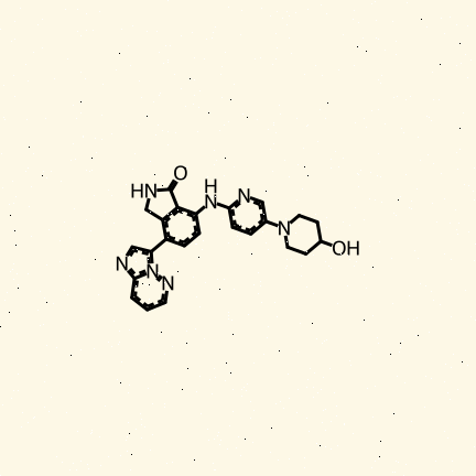 O=C1NCc2c(-c3cnc4cccnn34)ccc(Nc3ccc(N4CCC(O)CC4)cn3)c21